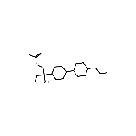 C=C(C)OOC(O)(CC)C1CCC(C2CCC(CCC)CC2)CC1